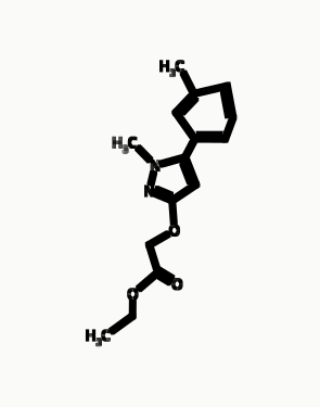 CCOC(=O)COc1cc(-c2cccc(C)c2)n(C)n1